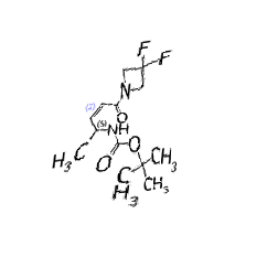 C[C@@H](/C=C\C(=O)N1CC(F)(F)C1)NC(=O)OC(C)(C)C